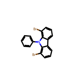 Brc1cccc2c3cccc(Br)c3n(-c3ccccc3)c12